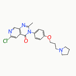 Cc1nc2cnc(Cl)cc2c(=O)n1-c1ccc(OCCCN2CCCC2)cc1